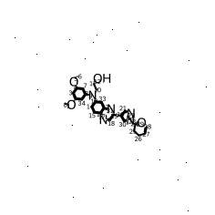 COc1cc(OC)cc(N(CCO)c2ccc3ncc(-c4cnn(C5CCC=CO5)c4)nc3c2)c1